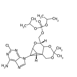 CC(C)OP(=O)(OC[C@H]1OC2[C@@H]3C4(COC(C)(C)OC14)C23n1cnc2c(N)nc(Cl)nc21)OC(C)C